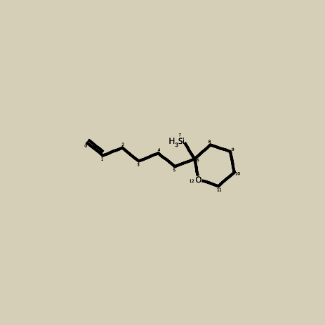 C=CCCCCC1([SiH3])CCCCO1